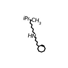 CC(C)C(C)CCCCCCNCCCCC1C#CCCCCC1